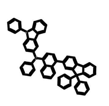 c1ccc(N(c2ccc3c(c2)c2ccccc2n3-c2ccccc2)c2ccc(-c3ccc4c(c3)C(c3ccccc3)(c3ccccc3)c3ccccc3-4)c3ccccc23)cc1